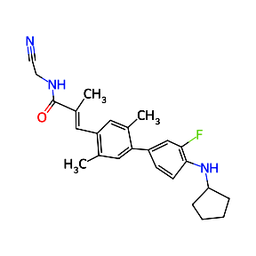 C/C(=C\c1cc(C)c(-c2ccc(NC3CCCC3)c(F)c2)cc1C)C(=O)NCC#N